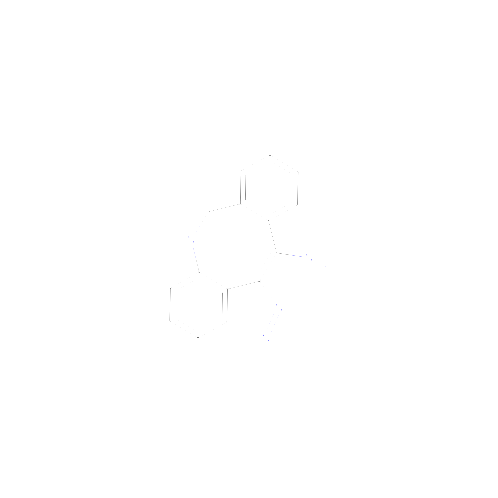 N=N/C1=C(\N)c2ccccc2CNc2ccccc21